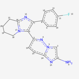 Nc1cn2nc(-c3c(-c4ccc(F)cc4)nc4n3CCCC4)ccc2n1